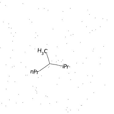 [CH2]CCC(C)[C](C)C